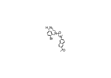 CC(=O)c1ccc2cc(N(C)CC(=O)N(CCCN)Cc3ccccc3Br)ccc2c1